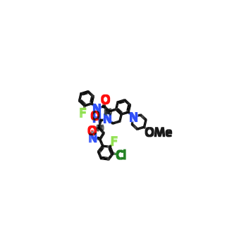 COC1CCN(c2cccc3c2CCN(C(=O)[C@H]2CC(c4cccc(Cl)c4F)=NO2)[C@H]3C(=O)Nc2ccccc2F)CC1